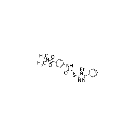 CCn1c(SCC(=O)Nc2ccc(S(=O)(=O)N(C)C)cc2)nnc1-c1ccncc1